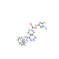 Cc1cc(COC(=O)N2CCc3c(ncnc3NCC34CC5CC(CC(C5)C3)C4)C2)nn1C